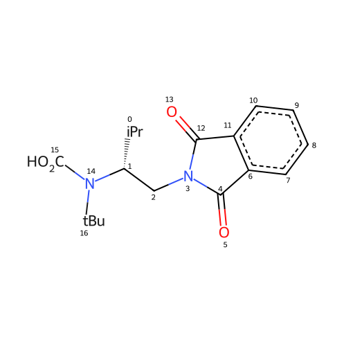 CC(C)[C@H](CN1C(=O)c2ccccc2C1=O)N(C(=O)O)C(C)(C)C